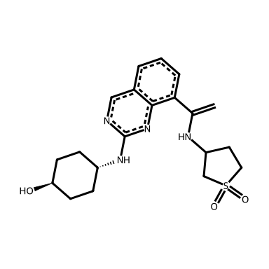 C=C(NC1CCS(=O)(=O)C1)c1cccc2cnc(N[C@H]3CC[C@H](O)CC3)nc12